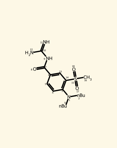 CCCCN(CCCC)c1ccc(C(=O)NC(=N)N)cc1S(C)(=O)=O